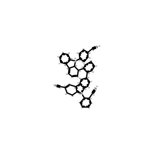 N#CC1=Cc2c(n(-c3ccccc3C#N)c3ccc(-c4ccccc4C4C=CC=C5c6ccccc6N(c6ccc(C#N)cc6)C54)cc23)CC1